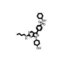 CCCCNc1ncc2c(-c3ccc(S(=O)(=O)NC4CCCCC4)cc3)nn([C@H]3CC[C@H](O)CC3)c2n1